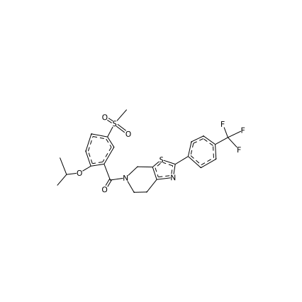 CC(C)Oc1ccc(S(C)(=O)=O)cc1C(=O)N1CCc2nc(-c3ccc(C(F)(F)F)cc3)sc2C1